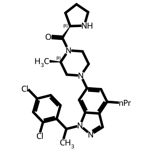 CCCc1cc(N2CCN(C(=O)[C@H]3CCCN3)[C@H](C)C2)cc2c1cnn2C(C)c1ccc(Cl)cc1Cl